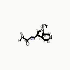 CC(C)n1cc(/C=C/C(=O)N(C)C)c2ccncc21